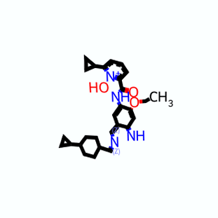 CCOC1=CC(=N)/C(=C\N=C/C2CCC(C3CC3)CC2)C=C1NC(=O)c1cccc(C2CC2)[n+]1O